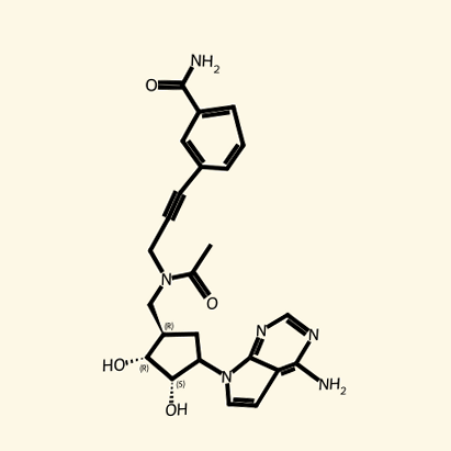 CC(=O)N(CC#Cc1cccc(C(N)=O)c1)C[C@H]1CC(n2ccc3c(N)ncnc32)[C@H](O)[C@@H]1O